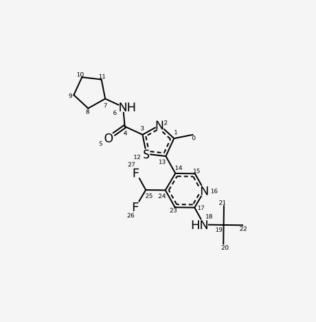 Cc1nc(C(=O)NC2CCCC2)sc1-c1cnc(NC(C)(C)C)cc1C(F)F